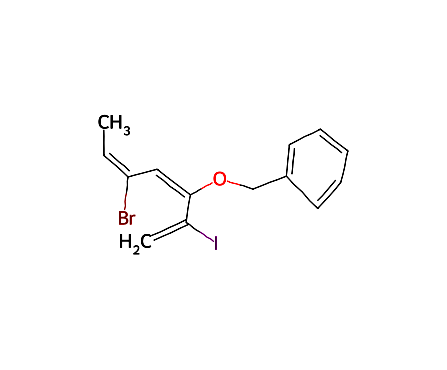 C=C(I)/C(=C\C(Br)=C/C)OCc1ccccc1